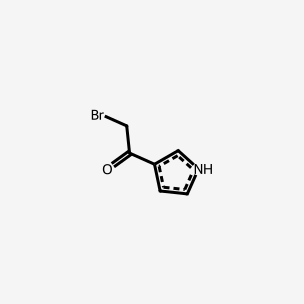 O=C(CBr)c1cc[nH]c1